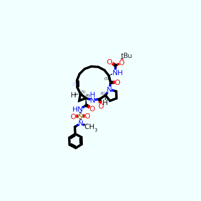 CN(Cc1ccccc1)S(=O)(=O)NC(=O)[C@@]12C[C@H]1/C=C\CCCCC[C@H](NC(=O)OC(C)(C)C)C(=O)N1CCC[C@H]1C(=O)N2